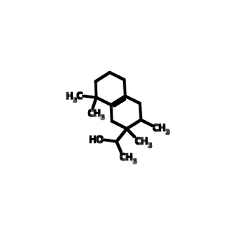 CC(O)C1(C)CC2=C(CCCC2(C)C)CC1C